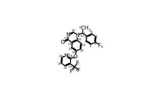 C[C@@H](c1ccc(F)cc1)n1cnc(=O)c2cc(Oc3ncccc3C(F)(F)F)ccc21